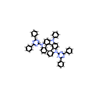 C1=CCC2C(=C1)N(c1nc(-c3ccccc3)nc(-c3ccccc3)n1)c1ccc3c(c12)c1c2c4ccccc4n(-c4nc(-c5ccccc5)nc(-c5ccccc5)n4)c2ccc1n3-c1ccccc1